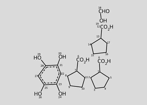 O=C(O)C1CCCC1.O=C(O)C1CCCC1.O=C(O)C1CCCC1.O=CO.Oc1cc(O)c(O)cc1O